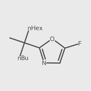 CCCCCCC(C)(CCCC)c1ncc(F)o1